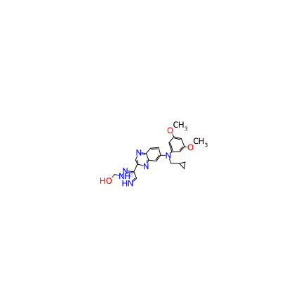 COc1cc(OC)cc(N(CC2CC2)c2ccc3ncc(/C(C=N)=N/NCO)nc3c2)c1